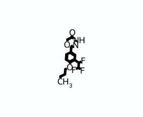 CCCCOc1ccc(C2=NNC(=O)CO2)cc1C(F)C(F)F